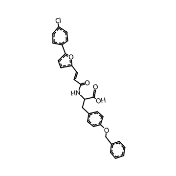 O=C(/C=C/c1ccc(-c2ccc(Cl)cc2)o1)NC(Cc1ccc(OCc2ccccc2)cc1)C(=O)O